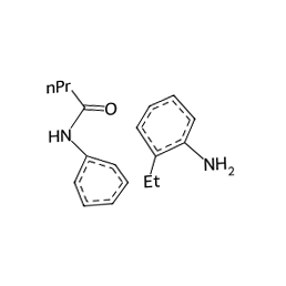 CCCC(=O)Nc1ccccc1.CCc1ccccc1N